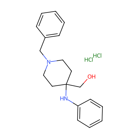 Cl.Cl.OCC1(Nc2ccccc2)CCN(Cc2ccccc2)CC1